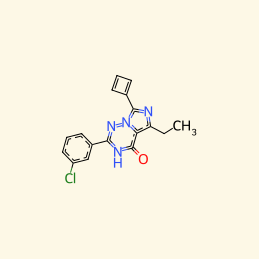 CCc1nc(C2=CC=C2)n2nc(-c3cccc(Cl)c3)[nH]c(=O)c12